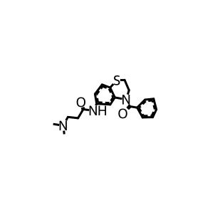 CN(C)CCC(=O)Nc1ccc2c(c1)N(C(=O)c1ccccc1)CCS2